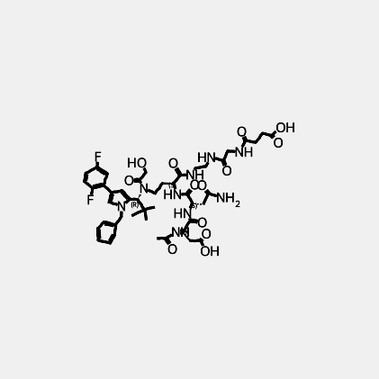 CC(=O)N[C@H](CC(=O)O)C(=O)N[C@@H](CC(N)=O)C(=O)N[C@@H](CCN(C(=O)CO)[C@@H](c1cc(-c2cc(F)ccc2F)cn1Cc1ccccc1)C(C)(C)C)C(=O)NCCNC(=O)CNC(=O)CCC(=O)O